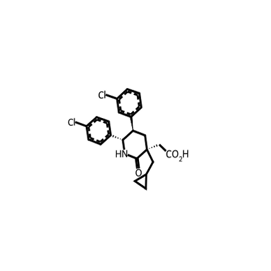 O=C(O)C[C@@]1(CC2CC2)C[C@H](c2cccc(Cl)c2)[C@@H](c2ccc(Cl)cc2)NC1=O